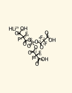 O=C(O)C(F)(F)C(=O)OP(=O)(OC(=O)C(F)(F)C(=O)O)OC(=O)C(F)(F)C(=O)O.[LiH]